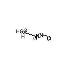 O=C(CCCCCCC(=O)N1CCN(CC=Cc2ccccc2)CC1)NO